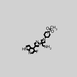 CS(=O)(=O)N1CCC(N2CC(CN)(n3cc(-c4c(F)cnc5[nH]ccc45)cn3)C2)CC1